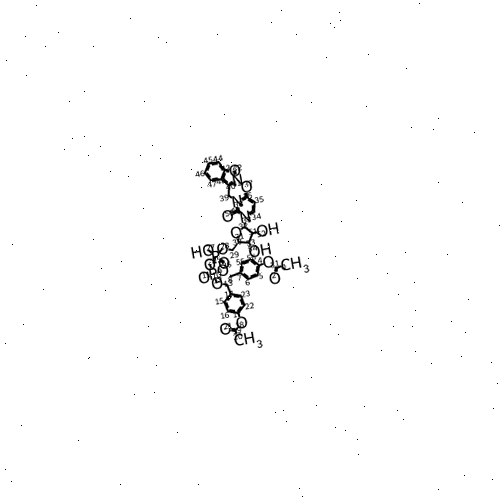 CC(=O)Oc1ccc(COP(=O)(OCc2ccc(OC(C)=O)cc2)OP(=O)(O)OC[C@H]2O[C@@H](n3ccc(=O)n(Cc4noc5ccccc45)c3=O)C(O)[C@H]2O)cc1